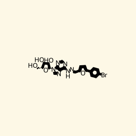 OC[C@H]1O[C@@H](n2cnc3c(N/N=C/c4ccc(-c5ccc(Br)cc5)o4)ncnc32)[C@H](O)[C@@H]1O